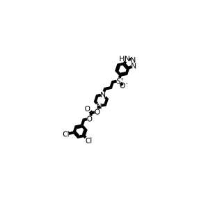 O=C(OCc1cc(Cl)cc(Cl)c1)ON1CCN(CCC[S+]([O-])c2ccc3[nH]nnc3c2)CC1